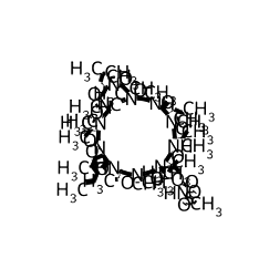 C/C=C/C[C@@H](C)[C@H]1ON2C(=O)[C@H](C(C)C)N(C)C(=O)[C@@H]3CC(C)N(C(=O)[C@H](C)NC(=O)[C@H](CC(C)C)N(C)C(=O)[C@H](C(C)C)NC(=O)[C@H](C(C)(C)COC(=O)NS(C)(=O)=O)N(C)C(=O)[C@@H](C)N(C)C(=O)[C@H](CC)NC(=O)[C@H]12)[C@H](C)C(=O)N(C)[C@@H](CC(C)C)C(=O)N3C